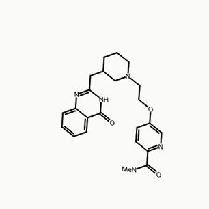 CNC(=O)c1ccc(OCCN2CCCC(Cc3nc4ccccc4c(=O)[nH]3)C2)cn1